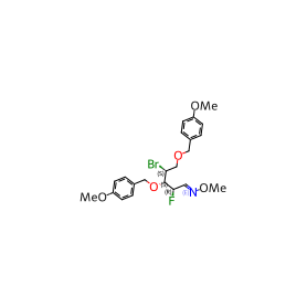 CO/N=C/[C@@H](F)[C@H](OCc1ccc(OC)cc1)[C@@H](Br)COCc1ccc(OC)cc1